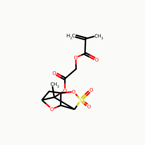 C=C(C)C(=O)OCC(=O)OC1(C)C2CC3OS(=O)(=O)C1C3O2